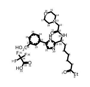 CCC(=O)CCCCC[C@H](NC(=O)CN1CCOCC1)c1ncc(-c2cccc(C(=O)O)c2)[nH]1.O=C(O)C(F)(F)F